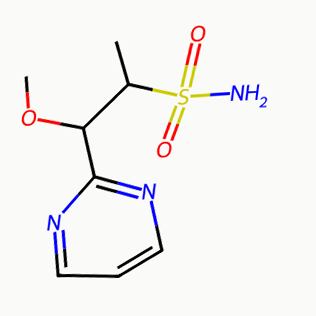 COC(c1ncccn1)C(C)S(N)(=O)=O